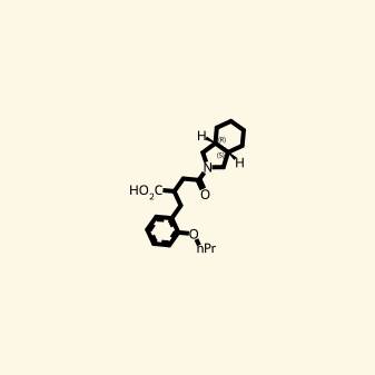 CCCOc1ccccc1CC(CC(=O)N1C[C@H]2CCCC[C@H]2C1)C(=O)O